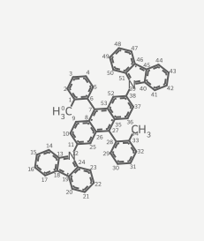 Cc1ccccc1-c1c2ccc(-n3c4ccccc4c4ccccc43)cc2c(-c2ccccc2C)c2ccc(-n3c4ccccc4c4ccccc43)cc12